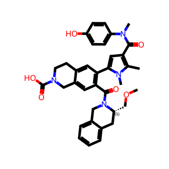 COC[C@@H]1Cc2ccccc2CN1C(=O)c1cc2c(cc1-c1cc(C(=O)N(C)c3ccc(O)cc3)c(C)n1C)CCN(C(=O)O)C2